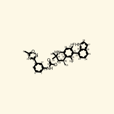 Cc1nc(-c2cccc(NC(=O)O[C@H]3[C@H](C)c4c(cc(F)c(-c5cccc6cc[nH]c56)c4F)NC3(C)C)c2)no1